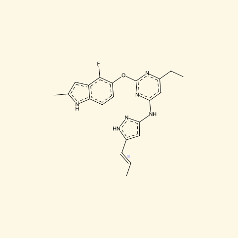 C/C=C/c1cc(Nc2cc(CC)nc(Oc3ccc4[nH]c(C)cc4c3F)n2)n[nH]1